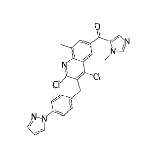 Cc1cc(C(=O)c2cncn2C)cc2c(Cl)c(Cc3ccc(-n4cccn4)cc3)c(Cl)nc12